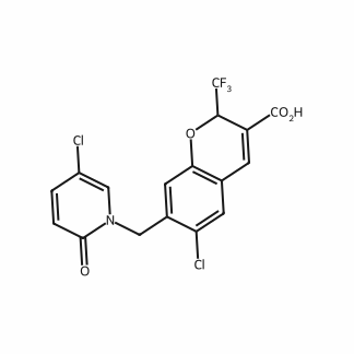 O=C(O)C1=Cc2cc(Cl)c(Cn3cc(Cl)ccc3=O)cc2OC1C(F)(F)F